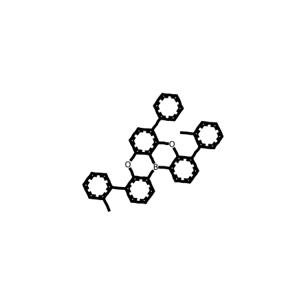 Cc1ccccc1-c1cccc2c1Oc1ccc(-c3ccccc3)c3c1B2c1cccc(-c2ccccc2C)c1O3